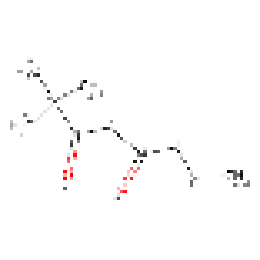 CCCC(=O)CC(=O)C(C)(C)C